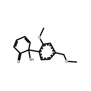 COCc1ccc(C2(S)C=CC=CC2=O)c(OC)c1